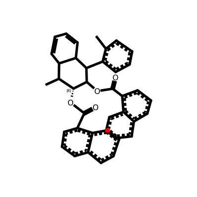 Cc1ccccc1C1C2C=CC=CC2C(C)[C@@H](OC(=O)c2cccc3ccccc23)C1OC(=O)c1cccc2ccccc12